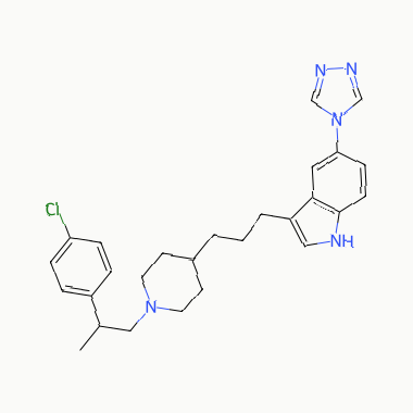 CC(CN1CCC(CCCc2c[nH]c3ccc(-n4cnnc4)cc23)CC1)c1ccc(Cl)cc1